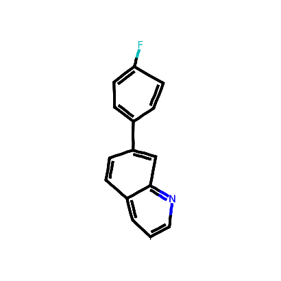 Fc1ccc(-c2ccc3c[c]cnc3c2)cc1